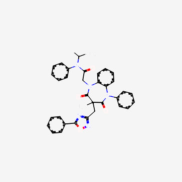 CC(C)N(C(=O)CN1C(=O)C(C)(Cc2noc(-c3ccccc3)n2)C(=O)N(c2ccccc2)c2ccccc21)c1ccccc1